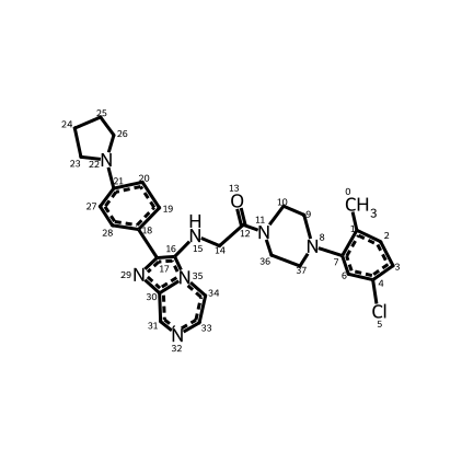 Cc1ccc(Cl)cc1N1CCN(C(=O)CNc2c(-c3ccc(N4CCCC4)cc3)nc3cnccn23)CC1